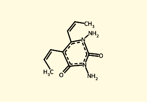 C/C=C\c1c(/C=C\C)n(N)c(=O)n(N)c1=O